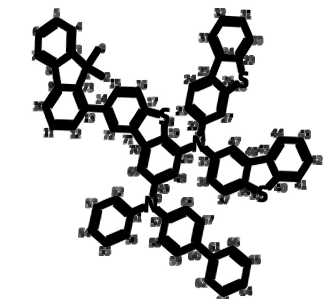 CC1(C)c2ccccc2-c2cccc(-c3ccc4sc5c(N(c6ccc7c(c6)sc6ccccc67)c6ccc7sc8ccccc8c7c6)cc(N(c6ccccc6)c6ccc(-c7ccccc7)cc6)cc5c4c3)c21